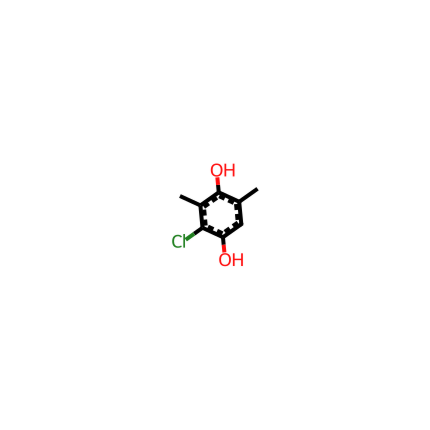 Cc1cc(O)c(Cl)c(C)c1O